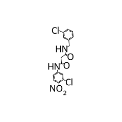 O=C(CC(=O)Nc1ccc([N+](=O)[O-])c(Cl)c1)NCc1cccc(Cl)c1